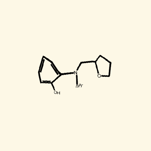 CCCN(CC1CCCO1)c1ccccc1O